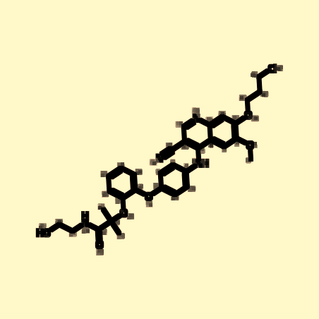 COc1cc2c(Nc3ccc(Oc4ccccc4OC(C)(C)C(=O)NCCO)cc3)c(C#N)cnc2cc1OCCCCl